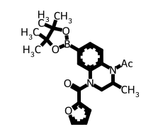 CC(=O)N1c2ccc(B3OC(C)(C)C(C)(C)O3)cc2N(C(=O)c2ccco2)CC1C